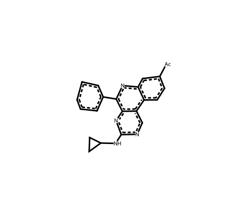 CC(=O)c1ccc2c(c1)nc(-c1ccccc1)c1nc(NC3CC3)ncc12